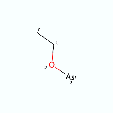 CCO[As]